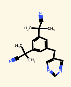 CC(C)(C#N)c1cc(Cc2cncnc2)cc(C(C)(C)C#N)c1